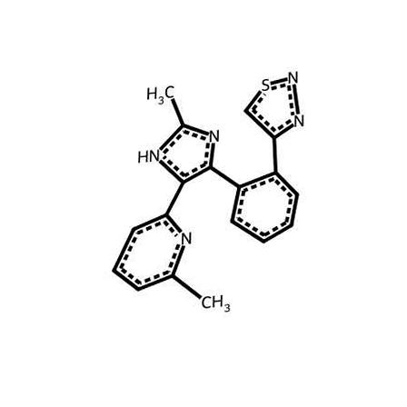 Cc1cccc(-c2[nH]c(C)nc2-c2ccccc2-c2csnn2)n1